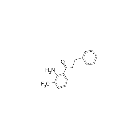 Nc1c(C(=O)CCc2ccccc2)cccc1C(F)(F)F